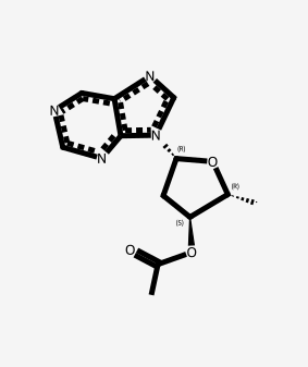 [CH2][C@H]1O[C@@H](n2cnc3cncnc32)C[C@@H]1OC(C)=O